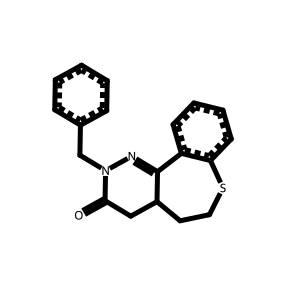 O=C1CC2CCSc3ccccc3C2=NN1Cc1ccccc1